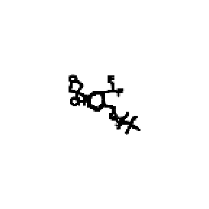 CC(C)(C)[Si](C)(C)OCc1ccc(C2(O)COC2)cc1C(F)F